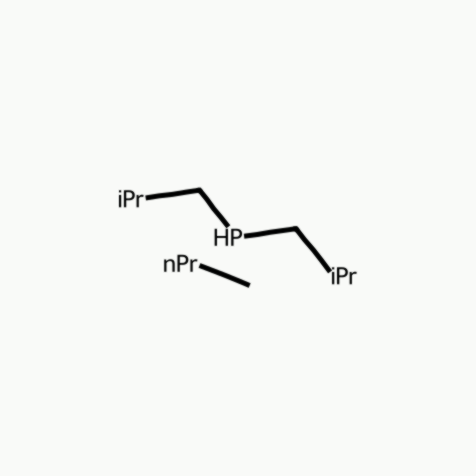 CC(C)CPCC(C)C.CCCC